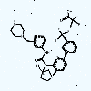 O=C(Nc1cccc(CN2CCNCC2)c1)N1c2nc(-c3cccc(C(F)(F)F)c3)ccc2N2CC[C@H]1C2.O=C(O)C(F)(F)F